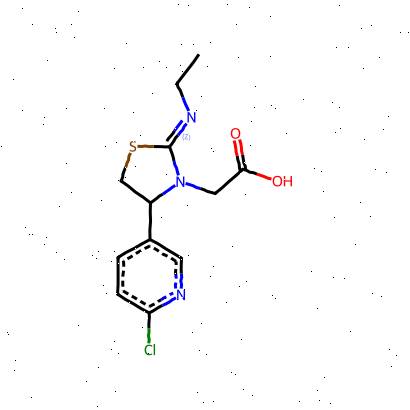 CC/N=C1\SCC(c2ccc(Cl)nc2)N1CC(=O)O